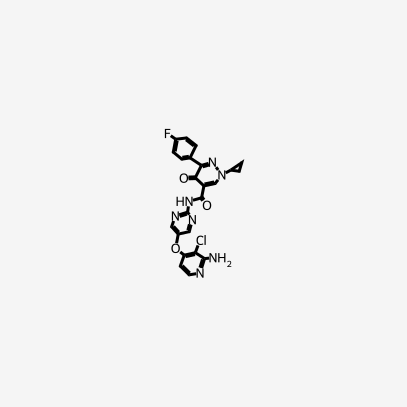 Nc1nccc(Oc2cnc(NC(=O)c3cn(C4CC4)nc(-c4ccc(F)cc4)c3=O)nc2)c1Cl